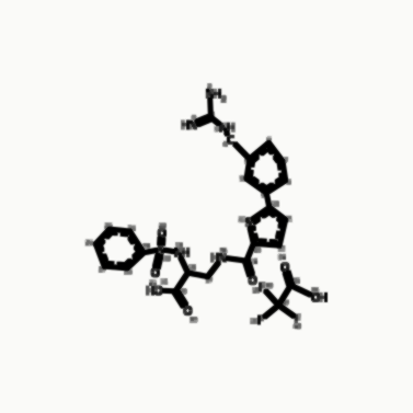 N=C(N)NCc1cccc(-c2ccc(C(=O)NCC(NS(=O)(=O)c3ccccc3)C(=O)O)s2)c1.O=C(O)C(F)(F)F